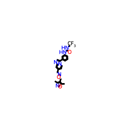 Cc1noc(C)c1CO/N=C/c1ccn2c(-c3cccc(NC(=O)NCC(F)(F)F)c3)cnc2c1